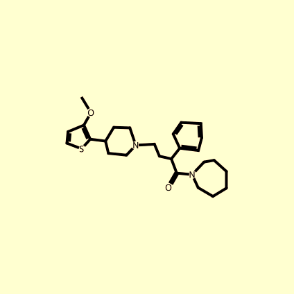 COc1ccsc1C1CCN(CCC(C(=O)N2CCCCCC2)c2ccccc2)CC1